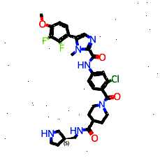 COc1ccc(-c2cnc(C(=O)Nc3ccc(C(=O)N4CCC(C(=O)NC[C@H]5CCNC5)CC4)c(Cl)c3)n2C)c(F)c1F